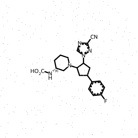 N#Cc1ncn(C2CC(c3ccc(F)cc3)CC2N2CCC[C@@H](NC(=O)O)C2)n1